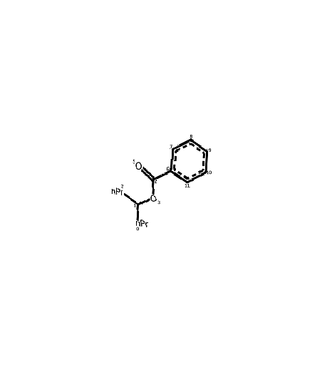 CCCC(CCC)OC(=O)c1cc[c]cc1